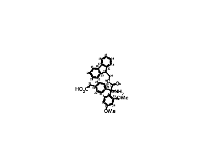 COc1ccc(C(N)(C(=O)OCC2c3ccccc3-c3ccccc32)c2ccc(CC(=O)O)cc2)c(OC)c1